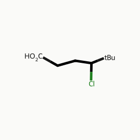 CC(C)(C)C(Cl)CCC(=O)O